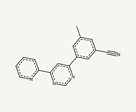 Cc1cc(C#N)cc(-c2cc(-c3ccccn3)ncn2)c1